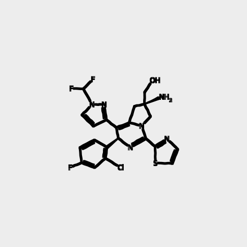 N[C@]1(CO)CC2=C(c3ccn(C(F)F)n3)[C@H](c3ccc(F)cc3Cl)N=C(c3nccs3)N2C1